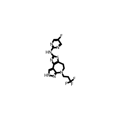 Fc1cnc(Nc2nc3c(s2)CCN(CCC(F)(F)F)c2n[nH]cc2-3)nc1